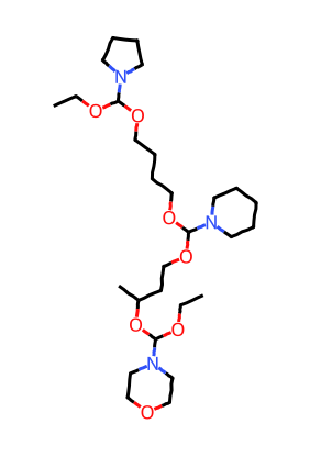 CCOC(OCCCCOC(OCCC(C)OC(OCC)N1CCOCC1)N1CCCCC1)N1CCCC1